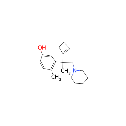 Cc1ccc(O)cc1C(C)(CN1CCCCC1)C1=CCC1